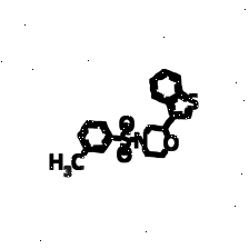 Cc1cccc(S(=O)(=O)N2CCOC(c3csc4ccccc34)C2)c1